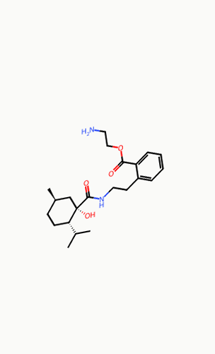 CC(C)[C@@H]1CC[C@@H](C)C[C@@]1(O)C(=O)NCCc1ccccc1C(=O)OCCN